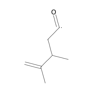 C=C(C)C(C)C[C]=O